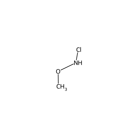 CONCl